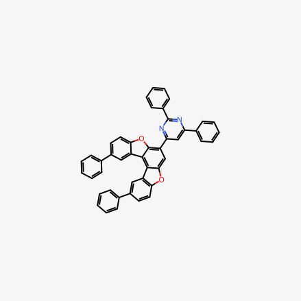 c1ccc(-c2ccc3oc4cc(-c5cc(-c6ccccc6)nc(-c6ccccc6)n5)c5oc6ccc(-c7ccccc7)cc6c5c4c3c2)cc1